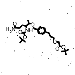 CC(OCc1ccc(CCCOCC(=O)OC(C)(C)C)cc1)C(CCC(N)=O)NC(=O)OC(C)(C)C